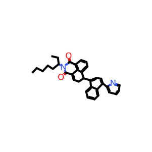 CCCCCC(CC)N1C(=O)C2=CCC(c3ccc(-c4ccccn4)c4ccccc34)c3cccc(c32)C1=O